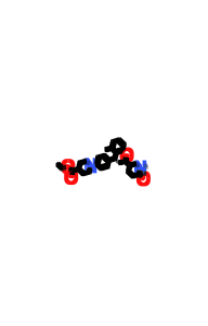 CCOC(=O)C1CCN(c2ccc([C@@H](CC(=O)C3CCC(=O)N(C)C3)c3ccccc3C)cc2)CC1